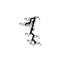 CC(=CCOC(=O)CCCCCCC(=O)OCC=C(C)CCCC(C)CCCC(C)CCCC(C)C)CCCC(C)CCCC(C)CCCC(C)C